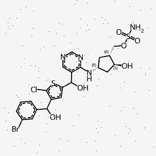 NS(=O)(=O)OC[C@H]1C[C@@H](Nc2ncncc2C(O)c2cc(C(O)c3cccc(Br)c3)c(Cl)s2)C[C@@H]1O